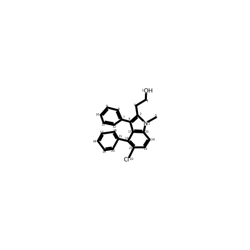 Cn1c(CCO)c(-c2ccccc2)c2c(-c3ccccc3)c(Cl)ccc21